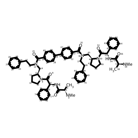 CN[C@@H](C)C(=O)N[C@H](C(=O)N1CCC[C@H]1CN(CCc1ccccc1)C(=O)c1ccc(-c2ccc(C(=O)N(CCc3ccccc3)C[C@@H]3CCCN3C(=O)[C@@H](NC(=O)[C@H](C)NC)c3ccccc3)cc2)cc1)c1ccccc1